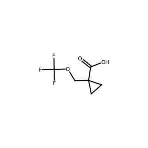 O=C(O)C1(COC(F)(F)F)CC1